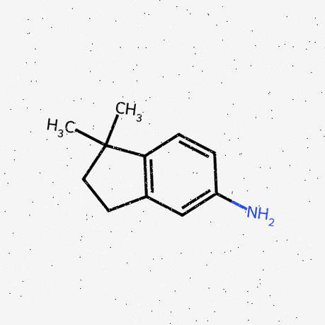 CC1(C)CCc2cc(N)ccc21